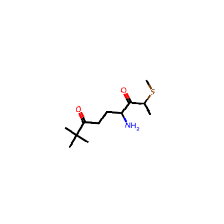 CSC(C)C(=O)C(N)CCC(=O)C(C)(C)C